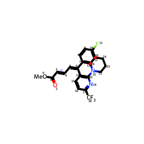 COC(=O)/C=C/C=C(c1ccc(F)cc1)c1ccc(C(F)(F)F)nc1N1CCCCC1